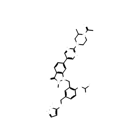 CC(=O)N1CCN(c2ncc(-c3ccc4c(=O)n(C)n(Cc5cc(COc6ccn[nH]6)ccc5OC(F)F)c4c3)cn2)CC1C